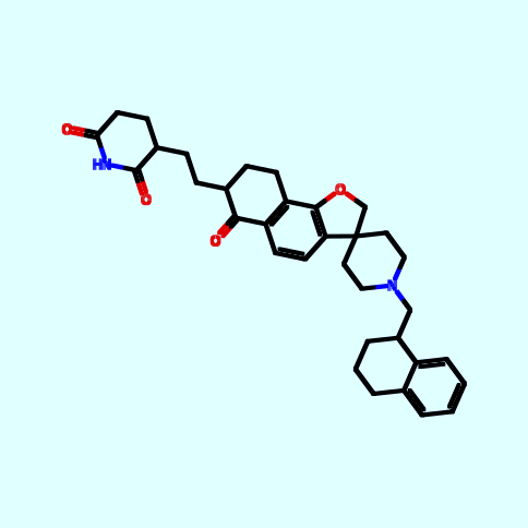 O=C1CCC(CCC2CCc3c(ccc4c3OCC43CCN(CC4CCCc5ccccc54)CC3)C2=O)C(=O)N1